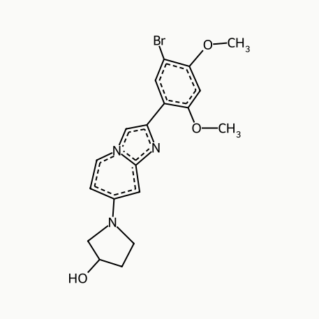 COc1cc(OC)c(-c2cn3ccc(N4CCC(O)C4)cc3n2)cc1Br